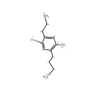 CCCCc1cc(Cl)c(CCC)cc1O